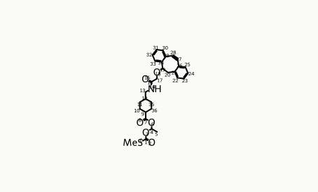 CSC(=O)OC(C)OC(=O)C1CCC(CNC(=O)COC2Cc3ccccc3C#Cc3ccccc32)CC1